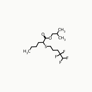 CCCCC(SCCCC(F)(F)C(F)F)C(=O)OCC(C)C